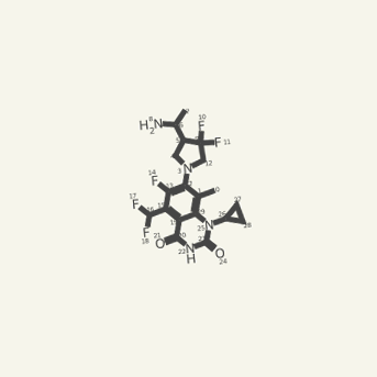 Cc1c(N2CC(C(C)N)C(F)(F)C2)c(F)c(C(F)F)c2c(=O)[nH]c(=O)n(C3CC3)c12